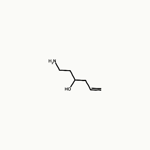 C=CCC(O)CCN